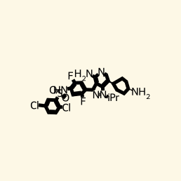 CC(C)n1nc(-c2cc(F)c(NS(=O)(=O)c3cc(Cl)ccc3Cl)cc2F)c2c(N)ncc([C@H]3CC[C@H](N)CC3)c21